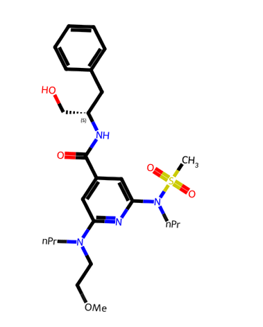 CCCN(CCOC)c1cc(C(=O)N[C@H](CO)Cc2ccccc2)cc(N(CCC)S(C)(=O)=O)n1